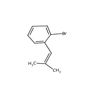 CC(C)=Cc1ccccc1Br